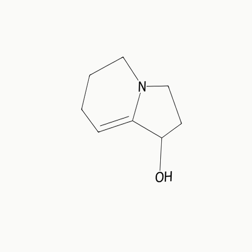 OC1CCN2CCCC=C12